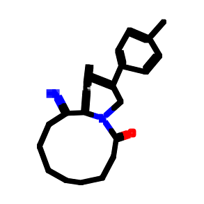 C=C=C1C(=N)CCCCCCCC(=O)N1CC(=C)c1ccc(C)cc1